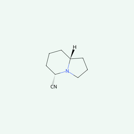 N#C[C@@H]1CCC[C@@H]2CCCN21